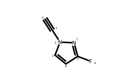 [C]#Cn1ccc(F)n1